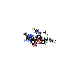 COc1ccc(CN(c2noc3cc(Nc4cc(C5CC5)[nH]n4)c(OC)cc23)S(=O)(=O)c2c(OC)cc(C(C)N3CC(F)C3)cc2OC)cc1